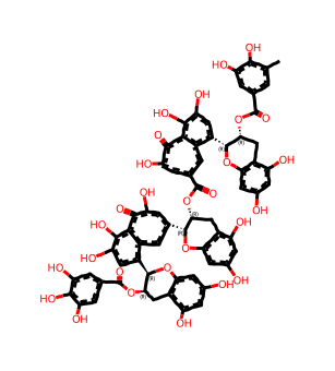 Cc1cc(C(=O)O[C@@H]2Cc3c(O)cc(O)cc3O[C@@H]2c2cc(O)c(O)c3c(=O)c(O)cc(C(=O)O[C@@H]4Cc5c(O)cc(O)cc5O[C@@H]4c4cc(O)c(=O)c5c(O)c(O)cc([C@H]6Oc7cc(O)cc(O)c7C[C@H]6OC(=O)c6cc(O)c(O)c(O)c6)c5c4)cc23)cc(O)c1O